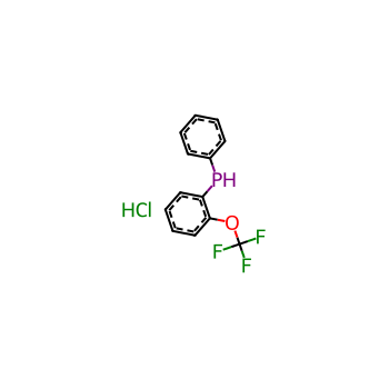 Cl.FC(F)(F)Oc1ccccc1Pc1ccccc1